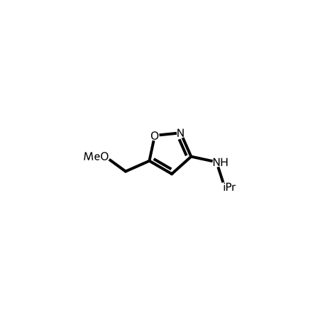 COCc1cc(NC(C)C)no1